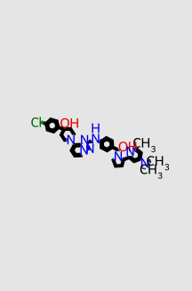 Cc1cc(N(C)C)cc(C2CCCN2C(O)c2ccc(Nc3nc4c(N5CCC(O)(c6ccc(Cl)cc6)CC5)cccn4n3)cc2)n1